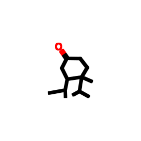 CC(C)C1CC(=O)CCC1(C)C(C)C